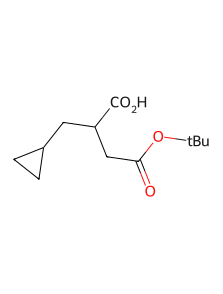 CC(C)(C)OC(=O)CC(CC1CC1)C(=O)O